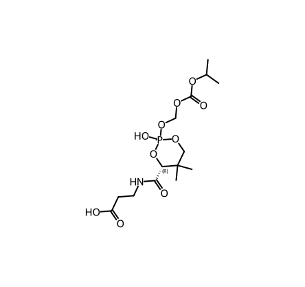 CC(C)OC(=O)OCO[P]1(O)OCC(C)(C)[C@H](C(=O)NCCC(=O)O)O1